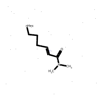 CCCCCCCCC/C=C/C(=O)N(C)C